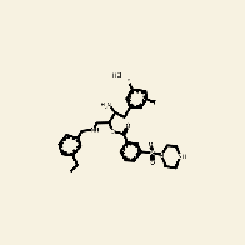 CCc1cccc(CNCC(OC(=O)c2cccc(S(=O)(=O)N3CCNCC3)c2)C(N)Cc2cc(F)cc(F)c2)c1.Cl